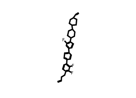 C=CCCc1ccc(-c2ccc(-c3ccc(C4CCC(C5CCC(C=C)CC5)CC4)c(F)c3)cc2)c(F)c1F